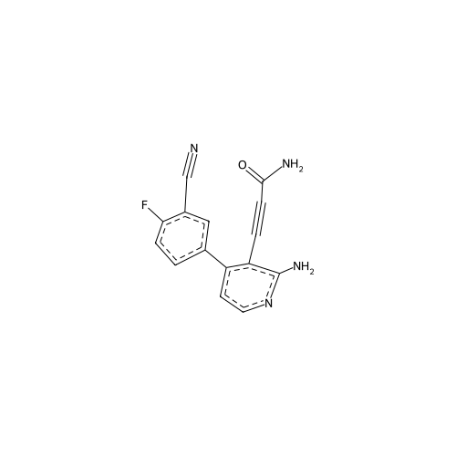 N#Cc1cc(-c2ccnc(N)c2C#CC(N)=O)ccc1F